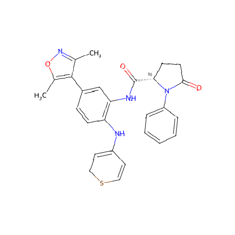 Cc1noc(C)c1-c1ccc(NC2=CCSC=C2)c(NC(=O)[C@@H]2CCC(=O)N2c2ccccc2)c1